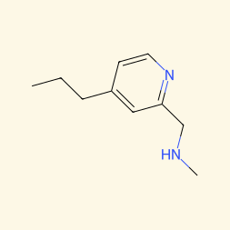 CCCc1ccnc(CNC)c1